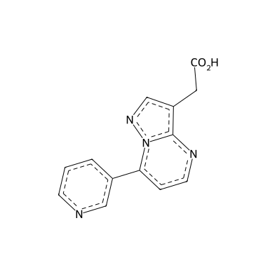 O=C(O)Cc1cnn2c(-c3cccnc3)ccnc12